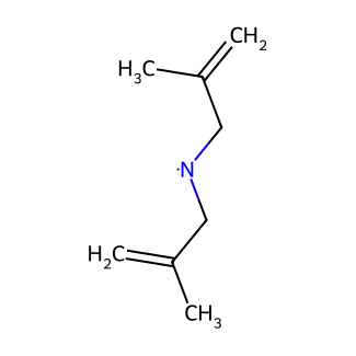 C=C(C)C[N]CC(=C)C